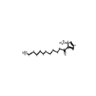 CCCCCCCCCCCC(=O)c1cccn1C